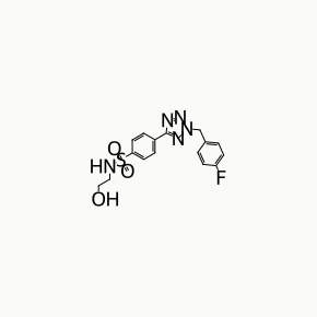 O=S(=O)(NCCO)c1ccc(-c2nnn(Cc3ccc(F)cc3)n2)cc1